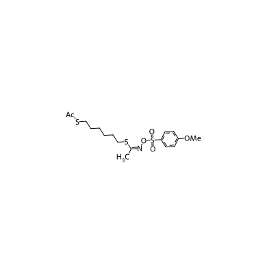 COc1ccc(S(=O)(=O)O/N=C(/C)SCCCCCCSC(C)=O)cc1